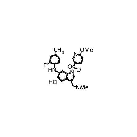 CNCc1cn(S(=O)(=O)c2ccc(OC)nc2)c2cc(Nc3ccc(C)cc3F)ccc12.Cl